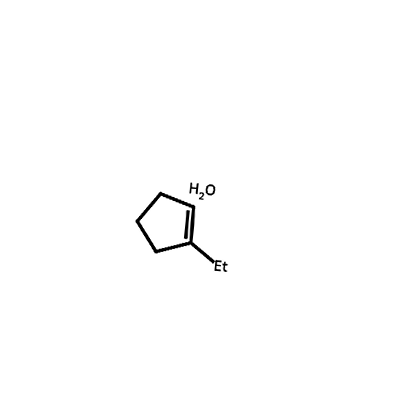 CCC1=CCCC1.O